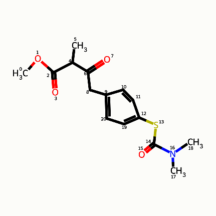 COC(=O)C(C)C(=O)Cc1ccc(SC(=O)N(C)C)cc1